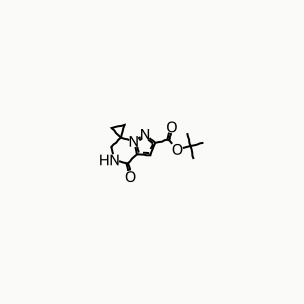 CC(C)(C)OC(=O)c1cc2n(n1)C1(CC1)CNC2=O